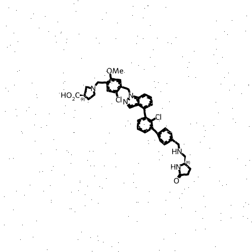 COc1cc(Cn2ncc3c(-c4cccc(-c5ccc(CNC[C@H]6CCC(=O)N6)cc5)c4Cl)cccc32)c(Cl)cc1CN1CC[C@@H](C(=O)O)C1